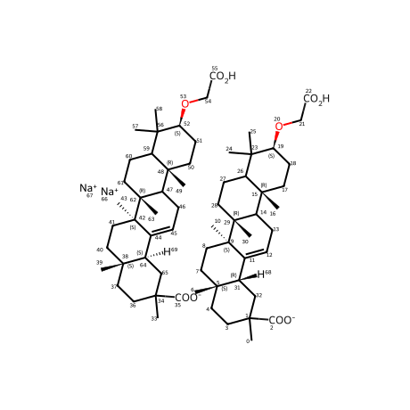 CC1(C(=O)[O-])CC[C@]2(C)CC[C@]3(C)C(=CCC4[C@@]5(C)CC[C@H](OCC(=O)O)C(C)(C)C5CC[C@]43C)[C@@H]2C1.CC1(C(=O)[O-])CC[C@]2(C)CC[C@]3(C)C(=CCC4[C@@]5(C)CC[C@H](OCC(=O)O)C(C)(C)C5CC[C@]43C)[C@H]2C1.[Na+].[Na+]